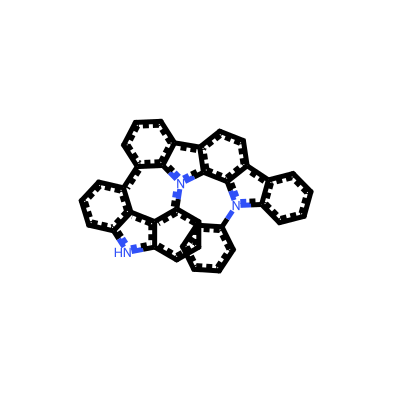 c1ccc(-n2c3ccccc3c3ccc4c5cccc6c7cccc8[nH]c9cccc(c9c87)n(c65)c4c32)cc1